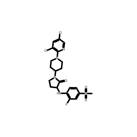 CS(=O)(=O)c1ccc(NC2CCN(C3CCN(c4ncc(Cl)cc4Cl)CC3)C2=O)c(F)c1